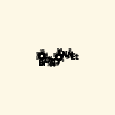 CCN(C)C=Nc1cc(C)c(C(COc2ccccc2Br)=NC)cc1C